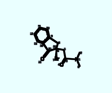 CN(C)C(=O)C[C@@]1(Br)Cc2ccccc2C1=O